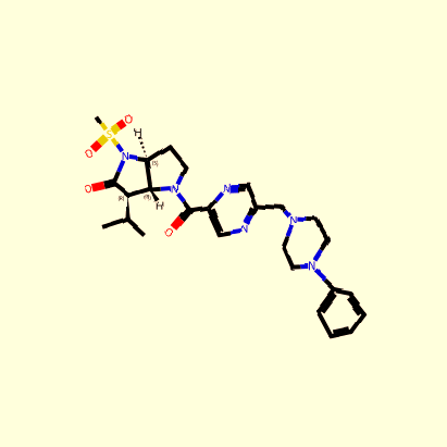 CC(C)[C@H]1C(=O)N(S(C)(=O)=O)[C@H]2CCN(C(=O)c3cnc(CN4CCN(c5ccccc5)CC4)cn3)[C@H]12